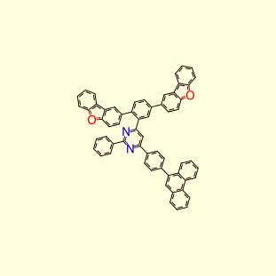 c1ccc(-c2nc(-c3ccc(-c4cc5ccccc5c5ccccc45)cc3)cc(-c3cc(-c4ccc5oc6ccccc6c5c4)ccc3-c3ccc4oc5ccccc5c4c3)n2)cc1